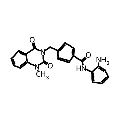 Cn1c(=O)n(Cc2ccc(C(=O)Nc3ccccc3N)cc2)c(=O)c2ccccc21